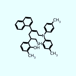 Cc1ccc(N(C/C=C(\CC(CS)c2cccc(C)c2O)c2cccc3ccccc23)c2ccc(C)cc2)cc1